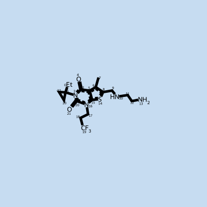 CCC1(n2c(=O)c3c(C)c(CNCCN)sc3n(CCC(F)(F)F)c2=O)CC1